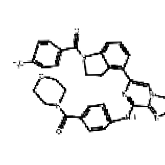 O=C(c1ccc(Nc2nc(-c3cccc4c3CCN4C(=O)c3ccc(C(F)(F)F)cc3)cn3ccnc23)cc1)N1CCOCC1